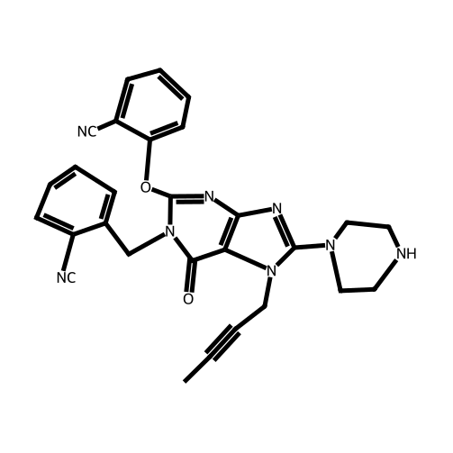 [C-]#[N+]c1ccccc1Cn1c(Oc2ccccc2C#N)nc2nc(N3CCNCC3)n(CC#CC)c2c1=O